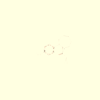 COc1ccc(C2CCCCCN2C(=O)CCl)cc1